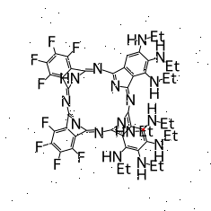 CCNc1cc2c(c(NCC)c1NCC)-c1nc-2nc2[nH]c(nc3nc(nc4c5c(NCC)c(NCC)c(NCC)c(NCC)c5c(n1)n4NCC)-c1c(F)c(F)c(F)c(F)c1-3)c1c(F)c(F)c(F)c(F)c21